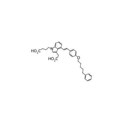 O=C(O)CCCn1cc(CC(=O)O)c2c(/C=C/c3ccc(OCCCCCc4ccccc4)cc3)cccc21